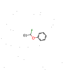 [CH2]CC(F)Oc1ccccc1